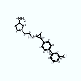 N[C@@H]1CCN(CCN[C@H]2CC2c2ccc(-c3cccc(Cl)c3)cc2)C1